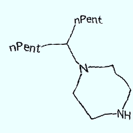 CCCCCC(CCCCC)N1CCNCC1